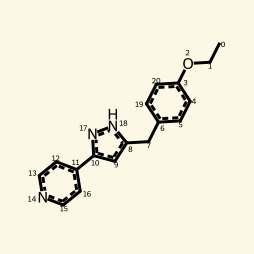 CCOc1ccc(Cc2cc(-c3ccncc3)n[nH]2)cc1